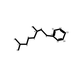 CC(C)CCCC(C)CCc1c[c]ccc1